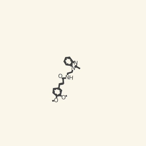 COc1ccc(C=CC(=O)NCCn2c(C)nc3ccccc32)cc1OC